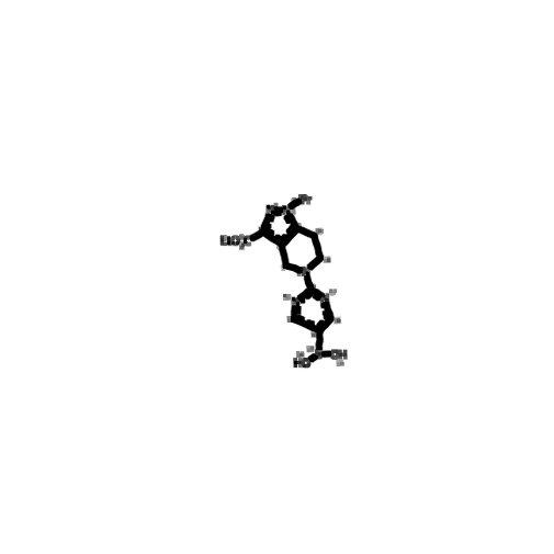 CCOC(=O)c1nn(C(C)C)c2c1CN(c1ncc(B(O)O)cn1)CC2